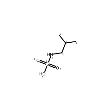 CC(C)CNS(=O)(=O)O